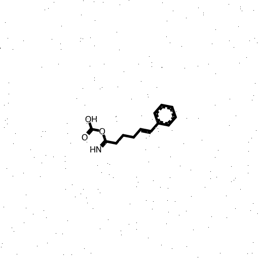 N=C(CCC/C=C/c1ccccc1)OC(=O)O